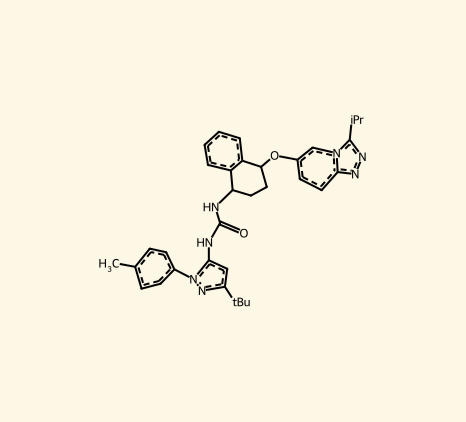 Cc1ccc(-n2nc(C(C)(C)C)cc2NC(=O)NC2CCC(Oc3ccc4nnc(C(C)C)n4c3)c3ccccc32)cc1